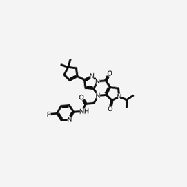 CC(C)N1Cc2c(n(CC(=O)Nc3ccc(F)cn3)c3cc(C4=CCC(C)(C)C4)nn3c2=O)C1=O